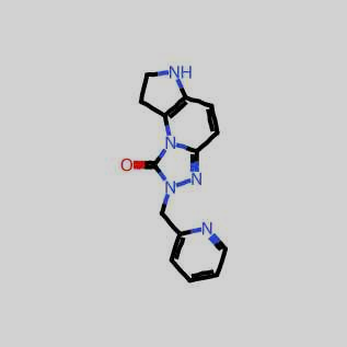 O=c1n(Cc2ccccn2)nc2ccc3c(n12)CCN3